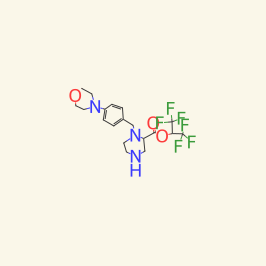 O=C(OC(C(F)(F)F)C(F)(F)F)C1CNCCN1Cc1ccc(N2CCOCC2)cc1